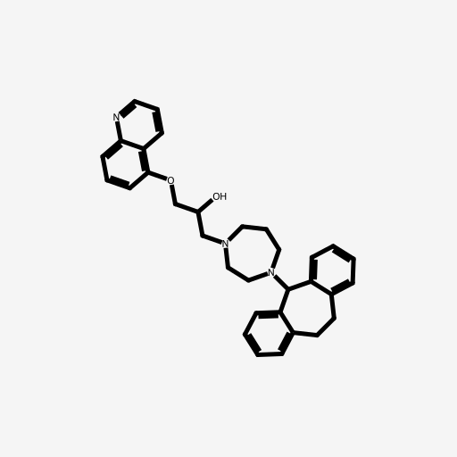 OC(COc1cccc2ncccc12)CN1CCCN(C2c3ccccc3CCc3ccccc32)CC1